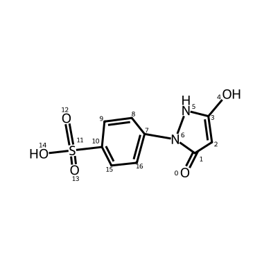 O=c1cc(O)[nH]n1-c1ccc(S(=O)(=O)O)cc1